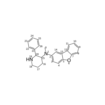 CN(c1ccc2oc3ccccc3c2c1)C1CCCNC1c1ccccc1